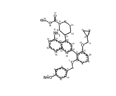 COc1ccc(COc2cccc(OCC3CC3)c2-c2cc(C3CCCN(C(=O)OC(C)(C)C)C3)c3c(N)ncnc3n2)cc1